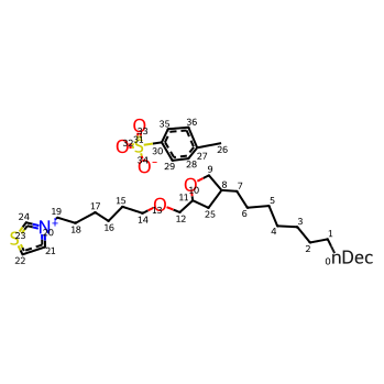 CCCCCCCCCCCCCCCCCC1COC(COCCCCCC[n+]2ccsc2)C1.Cc1ccc(S(=O)(=O)[O-])cc1